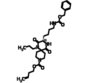 C=CCCOC(=O)N1CCC2(CC1)C(=O)N[C@@H](CCCCNC(=O)OCc1ccccc1)C(=O)N2CCC